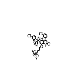 CCOP(=O)(C/C=C/COc1cc([C@](N)(c2ccc(Cl)cc2)c2cncn2C)cc2c(-c3cccc(Cl)c3)cc(=O)n(C)c12)OCC